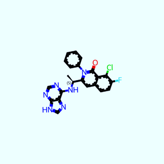 C[C@H](Nc1ncnc2[nH]cnc12)c1cc2ccc(F)c(Cl)c2c(=O)n1-c1ccccc1